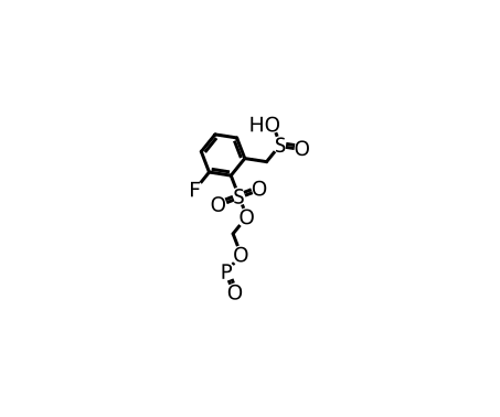 O=POCOS(=O)(=O)c1c(F)cccc1CS(=O)O